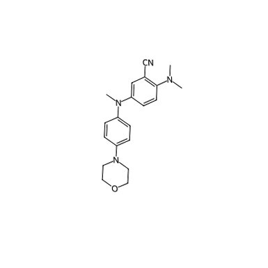 CN(C)c1ccc(N(C)c2ccc(N3CCOCC3)cc2)cc1C#N